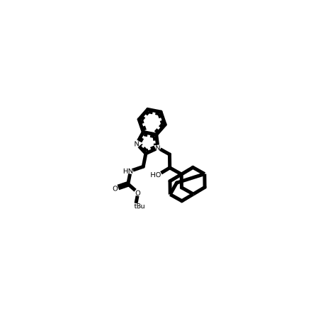 CC(C)(C)OC(=O)NCc1nc2ccccc2n1CC(O)C12CC3CC(CC(C3)C1)C2